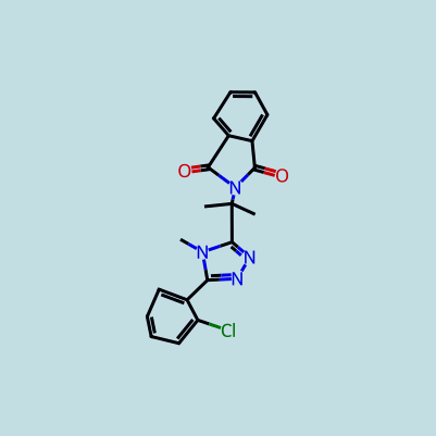 Cn1c(-c2ccccc2Cl)nnc1C(C)(C)N1C(=O)c2ccccc2C1=O